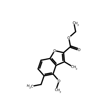 CCOC(=O)c1oc2ccc(CC)c(OC)c2c1C